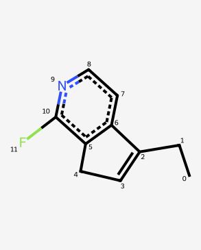 CCC1=CCc2c1ccnc2F